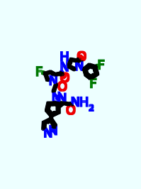 NC(=O)c1nn(CC(=O)N2CC(F)CC2C(=O)NC2CC(=O)N(c3cc(F)cc(F)c3)C2)c2ccc(-c3ccnnc3)cc12